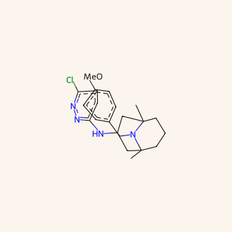 COc1ccc(CN2C3(C)CCCC2(C)CC(Nc2ccc(Cl)nn2)C3)cc1